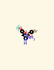 NC(=O)[C@H](Cc1ccc(Br)cc1)N(C(=O)C1(c2ccc(OC(F)(F)F)cc2)CC1)C1CCNCC1